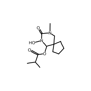 CC(C)C(=O)OC1N(O)C(=O)N(C)CC12CCCC2